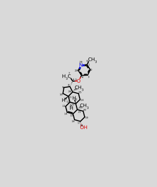 Cc1ccc(OC(C)[C@H]2CC[C@H]3[C@@H]4CC=C5C[C@@H](O)CC[C@]5(C)[C@H]4CC[C@]23C)cn1